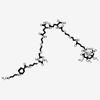 CSCCCNc1ccc(C(=O)NCCCC[C@H](NC(=O)COCCOCCNC(=O)CCC(NC(=O)CCC(NC(=O)COCCOCCNC(=O)CCCS(=O)(=O)NC(=O)[C@@H](C)C(C)(C)CC(C)(C)CS(=O)(=O)O)C(=O)O)C(=O)O)C(N)=O)cc1